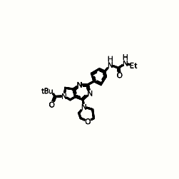 CCNC(=O)Nc1ccc(-c2nc3c(c(N4CCOCC4)n2)CN(C(=O)C(C)(C)C)C3)cc1